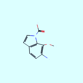 COc1c(N)ccc2ccn(C(=O)O)c12